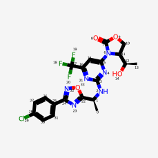 C[C@H](Nc1nc(N2C(=O)OCC2[C@@H](C)O)cc(C(F)(F)F)n1)c1nc(-c2ccc(Cl)cc2)no1